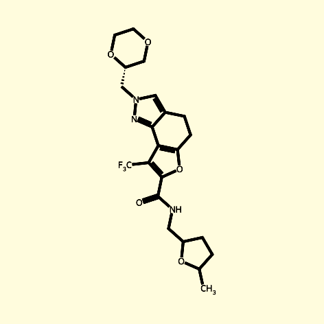 CC1CCC(CNC(=O)c2oc3c(c2C(F)(F)F)-c2nn(C[C@H]4COCCO4)cc2CC3)O1